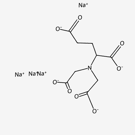 O=C([O-])CCC(C(=O)[O-])N(CC(=O)[O-])CC(=O)[O-].[Na+].[Na+].[Na+].[Na+]